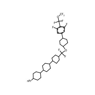 CCCC1CCC(C2CCC(C3CCC(C(F)(F)OC4CCC(c5cc(F)c(C(F)(F)OC(F)(F)F)c(F)c5)CC4)CC3)CC2)CC1